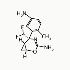 Cc1ccc(N)cc1[C@@]1(C(F)F)N=C(N)O[C@@H]2C[C@@H]21